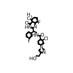 Cc1ccc(F)c2nc(C(CNC(=O)c3ccc(-n4cnc(CCO)c4)cc3Cl)c3cccc(F)c3)[nH]c(=O)c12